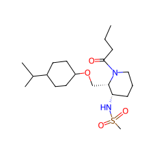 CCCC(=O)N1CCC[C@H](NS(C)(=O)=O)[C@@H]1COC1CCC(C(C)C)CC1